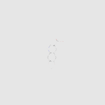 O=C(O)c1cnc2cc3c(cc2c1)OCO3.S